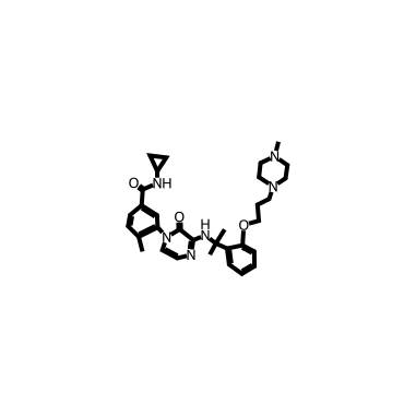 Cc1ccc(C(=O)NC2CC2)cc1-n1ccnc(NC(C)(C)c2ccccc2OCCCN2CCN(C)CC2)c1=O